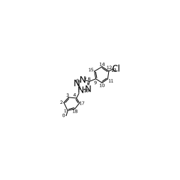 Cc1ccc(-n2nnc(-c3ccc(Cl)cc3)n2)cc1